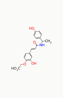 CC(NC(=O)C=Cc1ccc(OCC(=O)O)c(O)c1)c1ccc(O)cc1